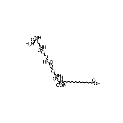 CN[C@H](CCCCNC(=O)COCCOCCNC(=O)COCCOCCNC(=O)CCC(NC(=O)CCCCCCCCCCCCCCCCC(=O)O)C(=O)O)C(=O)CN